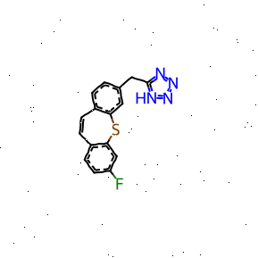 Fc1ccc2c(c1)Sc1cc(Cc3nnn[nH]3)ccc1C=C2